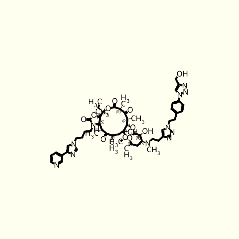 CC[C@H]1OC(=O)[C@H](C)C(=O)[C@H](C)[C@@H](O[C@@H]2O[C@H](C)C[C@H](N(C)CCc3cn(CCc4ccc(-n5cc(CO)nn5)cc4)nn3)[C@H]2O)[C@](C)(OC)C[C@@H](C)C(=O)[C@H](C)[C@@H]2N(CCCCn3cnc(-c4cccnc4)c3)C(=O)O[C@@]21C